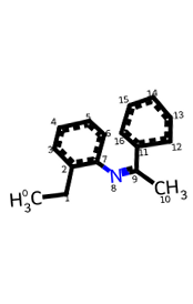 CCc1ccccc1/N=C(/C)c1ccccc1